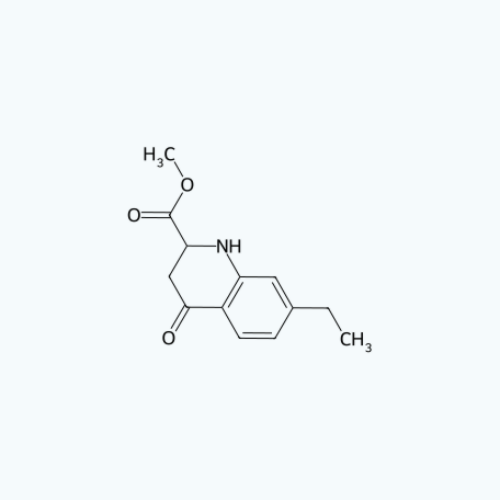 CCc1ccc2c(c1)NC(C(=O)OC)CC2=O